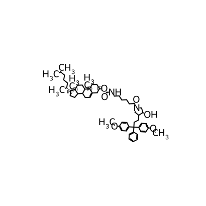 COc1ccc(C(CCC2CN(C(=O)CCCCCNC(=O)O[C@H]3CC[C@@]4(C)C(=CCC5C4CC[C@@]4(C)C5CC[C@@H]4C(C)CCCC(C)C)C3)CC2O)(c2ccccc2)c2ccc(OC)cc2)cc1